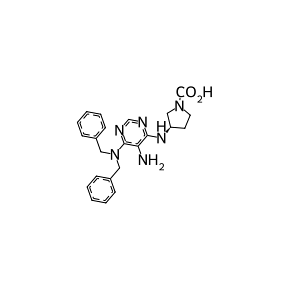 Nc1c(N[C@@H]2CCN(C(=O)O)C2)ncnc1N(Cc1ccccc1)Cc1ccccc1